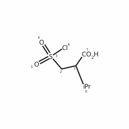 CC(C)C(CS(=O)(=O)Cl)C(=O)O